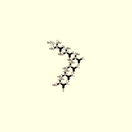 CCCCN(CCCC)C(=S)[S-].CCCCN(CCCC)C(=S)[S-].CCCCN(CCCC)C(=S)[S-].CCCCN(CCCC)C(=S)[S-].CCCCN(CCCC)C(=S)[S-].CCCCN(CCCC)C(=S)[S-].[Mo+6].[S-2]